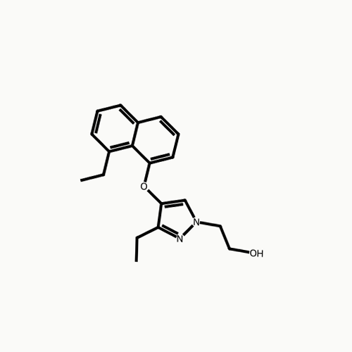 CCc1nn(CCO)cc1Oc1cccc2cccc(CC)c12